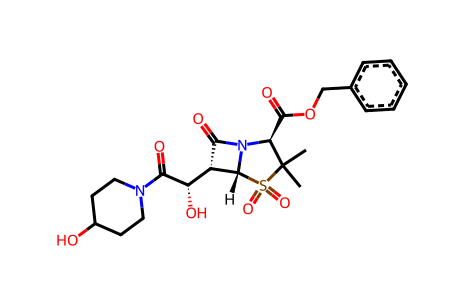 CC1(C)[C@H](C(=O)OCc2ccccc2)N2C(=O)[C@@H]([C@H](O)C(=O)N3CCC(O)CC3)[C@H]2S1(=O)=O